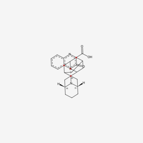 O=C(O)c1nc2ccccc2n([C@H]2C[C@H]3CCC[C@@H](C2)N3C2C3CC4CC(C3)CC2C4)c1=O